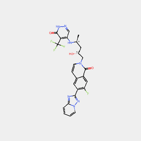 C[C@@H](C[C@@H](O)Cn1ccc2cc(-c3nc4ccccn4n3)c(F)cc2c1=O)Nc1cn[nH]c(=O)c1C(F)(F)F